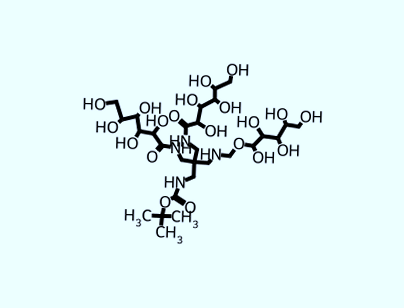 CC(C)(C)OC(=O)NCC(CNCOC(O)C(O)C(O)C(O)CO)(CNC(=O)C(O)C(O)C(O)C(O)CO)CNC(=O)C(O)C(O)C(O)C(O)CO